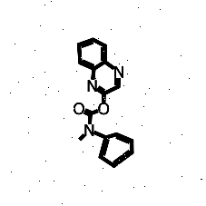 CN(C(=O)Oc1cnc2ccccc2n1)c1ccccc1